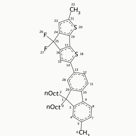 CCCCCCCCC1(CCCCCCCC)c2cc(C)ccc2-c2ccc(-c3cc4c(s3)-c3sc(C)cc3C4(F)F)cc21